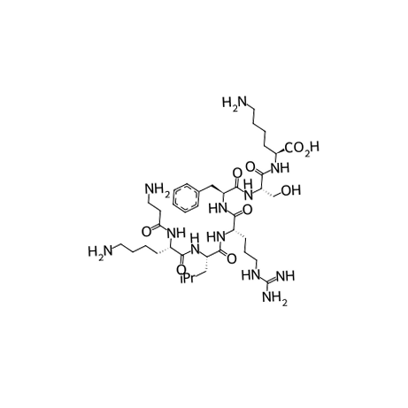 CC(C)C[C@H](NC(=O)[C@H](CCCCN)NC(=O)CCN)C(=O)N[C@@H](CCCNC(=N)N)C(=O)N[C@@H](Cc1ccccc1)C(=O)N[C@@H](CO)C(=O)N[C@@H](CCCCN)C(=O)O